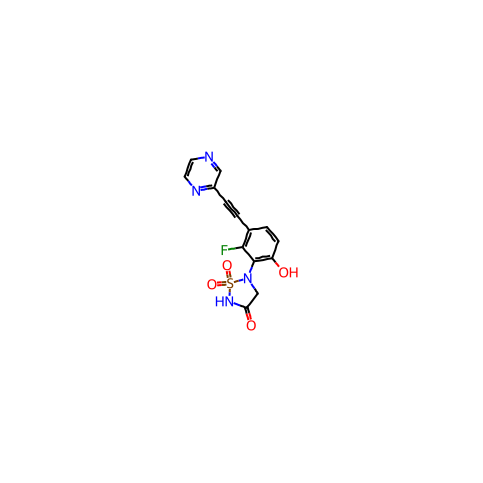 O=C1CN(c2c(O)ccc(C#Cc3cnccn3)c2F)S(=O)(=O)N1